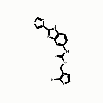 O=C(NCc1ccsc1Br)Nc1ccc2[nH]c(-c3cscn3)nc2c1